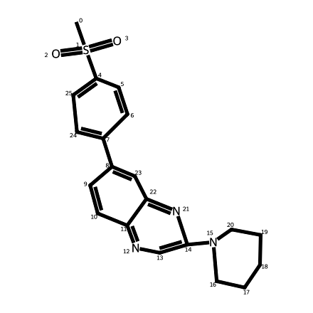 CS(=O)(=O)c1ccc(-c2ccc3ncc(N4CCCCC4)nc3c2)cc1